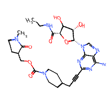 CCNC(=O)[C@H]1O[C@@H](n2cnc3c(N)nc(C#CCC4CCN(C(=O)OCC5CCN(C)C5=O)CC4)nc32)[C@@H](O)C1O